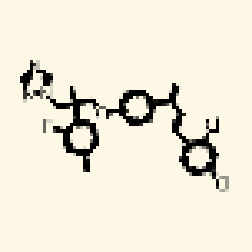 C=C(/C=C/c1ccc(Cl)cc1Cl)c1ccc(OCC(C)(Cn2cncn2)c2ccc(C)cc2F)cc1